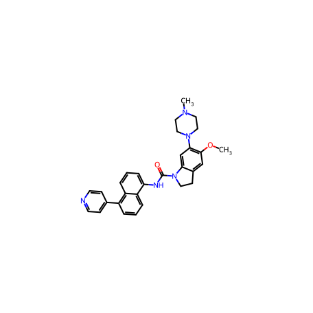 COc1cc2c(cc1N1CCN(C)CC1)N(C(=O)Nc1cccc3c(-c4ccncc4)cccc13)CC2